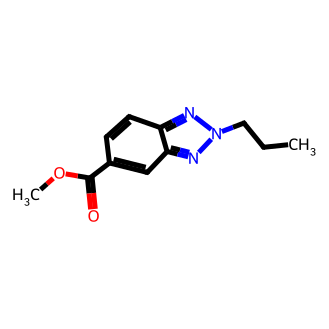 CCCn1nc2ccc(C(=O)OC)cc2n1